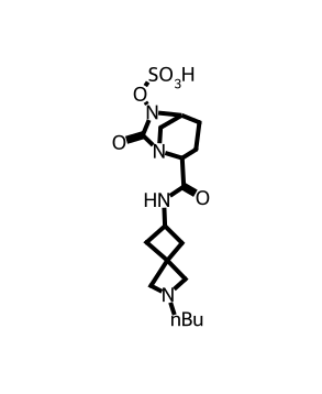 CCCCN1CC2(CC(NC(=O)C3CCC4CN3C(=O)N4OS(=O)(=O)O)C2)C1